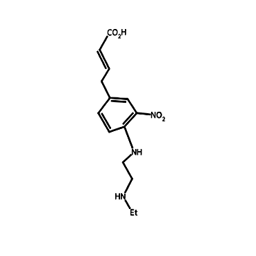 CCNCCNc1ccc(CC=CC(=O)O)cc1[N+](=O)[O-]